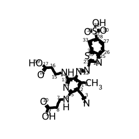 Cc1c(C#N)c(NCCC(=O)O)nc(NCCC(=O)O)c1N=Nc1nc2ccc(S(=O)(=O)O)cc2s1